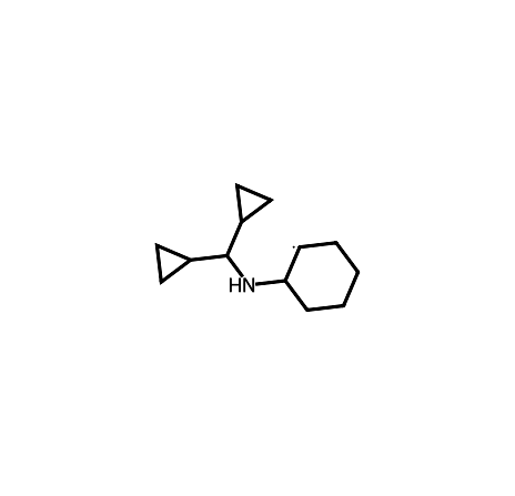 [CH]1CCCCC1NC(C1CC1)C1CC1